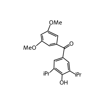 COc1cc(OC)cc(C(=O)c2cc(C(C)C)c(O)c(C(C)C)c2)c1